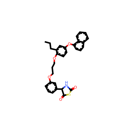 CCCc1cc(Oc2cccc3ccccc23)ccc1OCCCOc1cccc(C2NC(=O)SC2=O)c1